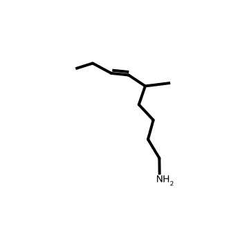 CCC=CC(C)CCCCN